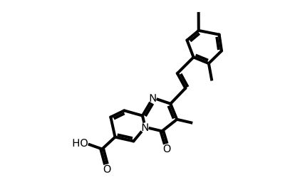 Cc1ccc(C)c(/C=C/c2nc3ccc(C(=O)O)cn3c(=O)c2C)c1